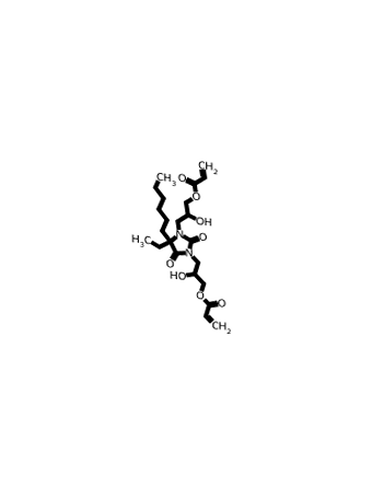 C=CC(=O)OCC(O)CN1C(=O)N(CC(O)COC(=O)C=C)C(CC)(CCCCCC)C1=O